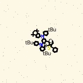 CC(C)(C)c1ccc(N(c2cc3c4c(c2)N(c2ccc(C(C)(C)C)cc2)c2ccc(C(C)(C)C)cc2B4c2sc(-c4ccccc4)c4cccc-3c24)c2ccc3c(c2)C(C)(C)CCC3(C)C)cc1